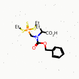 CCSP(=S)(CN(C(=O)OCc1ccccc1)C(CC)C(=O)O)SCC